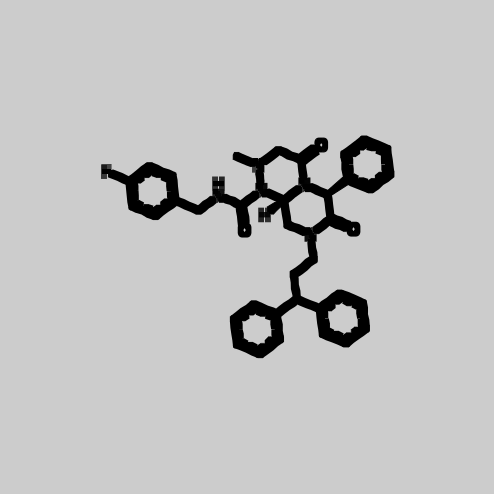 CN1CC(=O)N2[C@@H](c3ccccc3)C(=O)N(CCC(c3ccccc3)c3ccccc3)C[C@@H]2N1C(=O)NCc1ccc(F)cc1